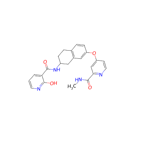 CNC(=O)c1cc(Oc2ccc3c(c2)CC(NC(=O)c2cccnc2O)CC3)ccn1